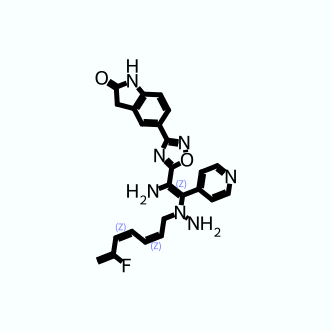 C=C(F)/C=C\C=C/CN(N)/C(=C(\N)c1nc(-c2ccc3c(c2)CC(=O)N3)no1)c1ccncc1